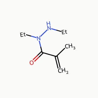 C=C(C)C(=O)N(CC)NCC